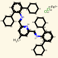 Cc1cc(C=Nc2c(C3CCCCC3)cccc2C2CCCCC2)nc(C=Nc2c(C3CCCCC3)cccc2C2CCCCC2)c1.[Cl-].[Cl-].[Fe+2]